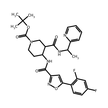 CC(NC(=O)C1CN(C(=O)OC(C)(C)C)CCC1NC(=O)c1cc(-c2ccc(F)cc2F)on1)c1ccccn1